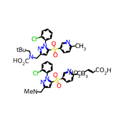 CNCc1cc(S(=O)(=O)c2ccc(C)nc2)n(-c2ccccc2Cl)n1.Cc1ccc(S(=O)(=O)c2cc(CN(CC(C)(C)C)C(=O)O)nn2-c2ccccc2Cl)cn1.O=C(O)C=CC(=O)O